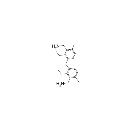 CCc1c(Cc2ccc(C)c(CN)c2CC)ccc(C)c1CN